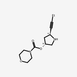 CCC#C[C@@H]1C[C@@H](OC(=O)N2CCOCC2)CN1